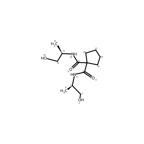 C[C@H](CO)NC(=O)C1(C(=O)N[C@H](C)CO)CCCC1